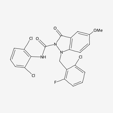 COc1ccc2c(c1)c(=O)n(C(=O)Nc1c(Cl)cccc1Cl)n2Cc1c(F)cccc1Cl